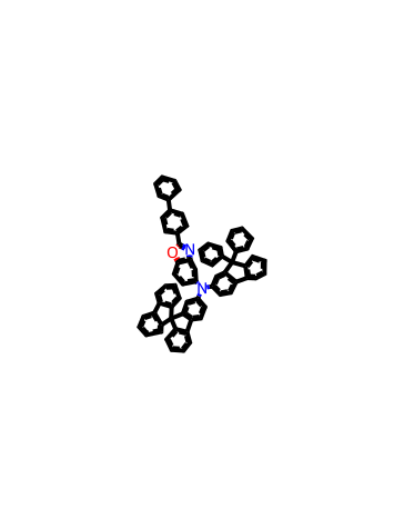 c1ccc(-c2ccc(-c3nc4cc(N(c5ccc6c(c5)C(c5ccccc5)(c5ccccc5)c5ccccc5-6)c5ccc6c(c5)C5(c7ccccc7-c7ccccc75)c5ccccc5-6)ccc4o3)cc2)cc1